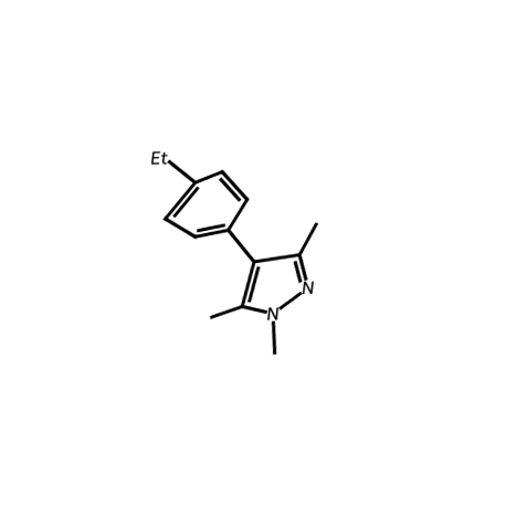 CCc1ccc(-c2c(C)nn(C)c2C)cc1